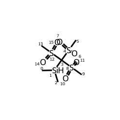 C[SiH](C)C(S(C)(=O)=O)(S(C)(=O)=O)S(C)(=O)=O